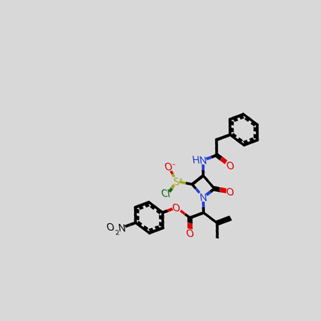 C=C(C)C(C(=O)Oc1ccc([N+](=O)[O-])cc1)N1C(=O)C(NC(=O)Cc2ccccc2)C1[S+]([O-])Cl